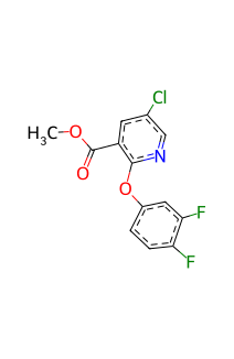 COC(=O)c1cc(Cl)cnc1Oc1ccc(F)c(F)c1